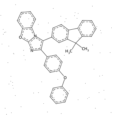 CC1(C)c2ccccc2-c2ccc(-c3c(-c4ccc(Oc5ccccc5)cc4)nc4oc5ccccc5n34)cc21